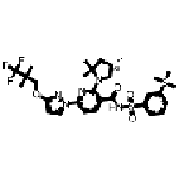 C[C@@H]1CN(c2nc(-n3ccc(OCC(C)(C)C(F)(F)F)n3)ccc2C(=O)NS(=O)(=O)c2cccc(S(C)(C)C)c2)C(C)(C)C1